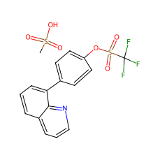 CS(=O)(=O)O.O=S(=O)(Oc1ccc(-c2cccc3cccnc23)cc1)C(F)(F)F